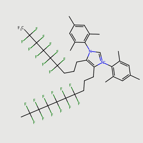 Cc1cc(C)c(-n2c[n+](-c3c(C)cc(C)cc3C)c(CCCC(F)(F)C(F)(F)C(F)(F)C(F)(F)C(F)(F)C(C)(F)F)c2CCCC(F)(F)C(F)(F)C(F)(F)C(F)(F)C(F)(F)C(F)(F)F)c(C)c1